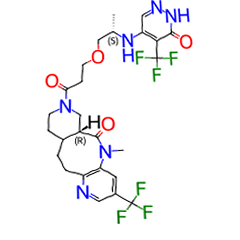 C[C@@H](COCCC(=O)N1CCC2CCc3ncc(C(F)(F)F)cc3N(C)C(=O)[C@H]2C1)Nc1cn[nH]c(=O)c1C(F)(F)F